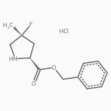 C[C@]1(F)CN[C@H](C(=O)OCc2ccccc2)C1.Cl